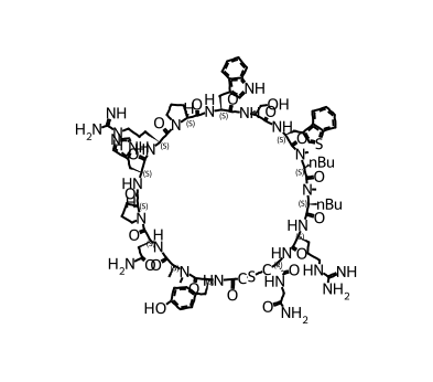 CCCC[C@H]1C(=O)N(C)[C@@H](CCCC)C(=O)N[C@@H](CCCNC(=N)N)C(=O)N[C@H](C(=O)NCC(N)=O)CSCC(=O)N[C@@H](Cc2ccc(O)cc2)C(=O)N(C)[C@@H](C)C(=O)N[C@@H](CC(N)=O)C(=O)N2CCC[C@H]2C(=O)N[C@@H](Cc2cnc[nH]2)C(=O)N[C@@H](CCCNC(=N)N)C(=O)N2CCC[C@H]2C(=O)N[C@@H](Cc2c[nH]c3ccccc23)C(=O)N[C@@H](CO)C(=O)N[C@@H](Cc2csc3ccccc23)C(=O)N1C